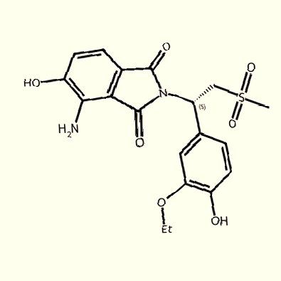 CCOc1cc([C@@H](CS(C)(=O)=O)N2C(=O)c3ccc(O)c(N)c3C2=O)ccc1O